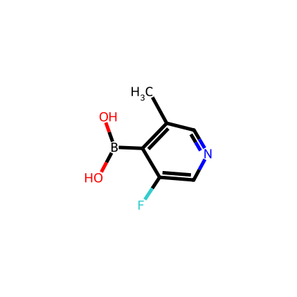 Cc1cncc(F)c1B(O)O